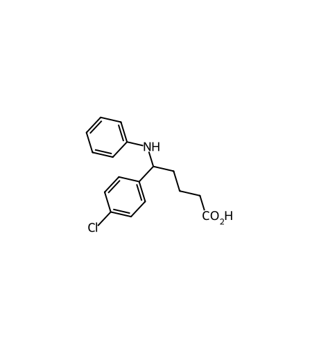 O=C(O)CCCC(Nc1ccccc1)c1ccc(Cl)cc1